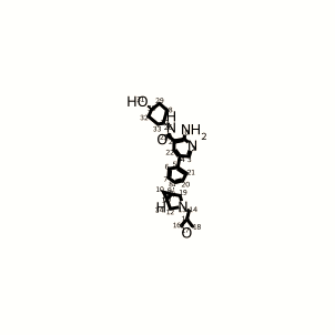 Nc1ncc(-c2ccc([C@@]34C[C@@H]3CN(CC3COC3)C4)cc2)cc1C(=O)N[C@H]1CC[C@H](O)CC1